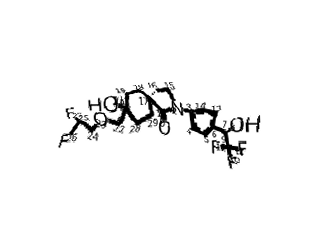 O=C1N(c2ccc([C@@H](O)C(F)(F)F)cc2)CC[C@]12CC[C@@](O)(COCC(F)F)CC2